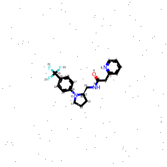 O=C(Cc1ccccn1)NC[C@H]1CCCN1c1ccc(C(F)(F)F)cc1